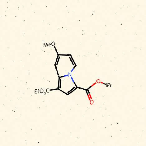 CCOC(=O)c1cc(C(=O)OC(C)C)n2ccc(OC)cc12